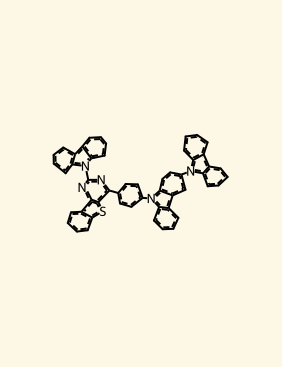 c1ccc2c(c1)sc1c(-c3ccc(-n4c5ccccc5c5cc(-n6c7ccccc7c7ccccc76)ccc54)cc3)nc(-n3c4ccccc4c4ccccc43)nc12